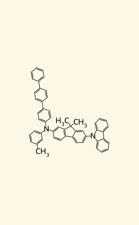 Cc1cccc(N(c2ccc(-c3ccc(-c4ccccc4)cc3)cc2)c2ccc3c(c2)C(C)(C)c2cc(-n4c5ccccc5c5ccccc54)ccc2-3)c1